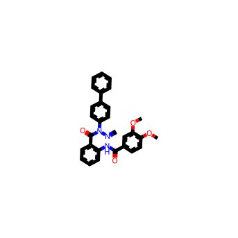 C=NN(C(=O)c1ccccc1NC(=O)c1ccc(OC)c(OC)c1)c1ccc(-c2ccccc2)cc1